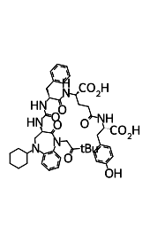 CC(C)(C)C(=O)CN1C(=O)[C@H](NC(=O)N[C@@H](Cc2ccccc2)C(=O)N[C@H](CCC(=O)N[C@@H](Cc2ccc(O)cc2)C(=O)O)C(=O)O)CN(C2CCCCC2)c2ccccc21